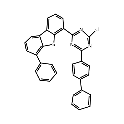 Clc1nc(-c2ccc(-c3ccccc3)cc2)nc(-c2cccc3c2sc2c(-c4ccccc4)cccc23)n1